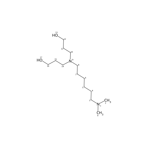 CN(C)CCCCCCN(CCCO)CCCO